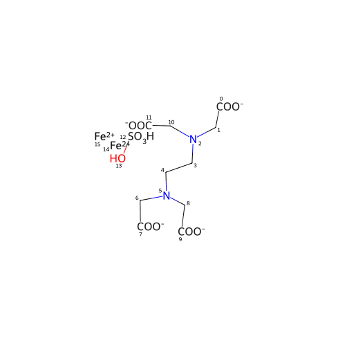 O=C([O-])CN(CCN(CC(=O)[O-])CC(=O)[O-])CC(=O)[O-].O=S(=O)(O)O.[Fe+2].[Fe+2]